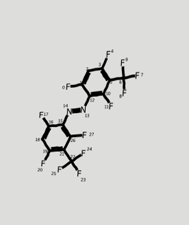 Fc1cc(F)c(C(F)(F)F)c(F)c1/N=N/c1c(F)cc(F)c(C(F)(F)F)c1F